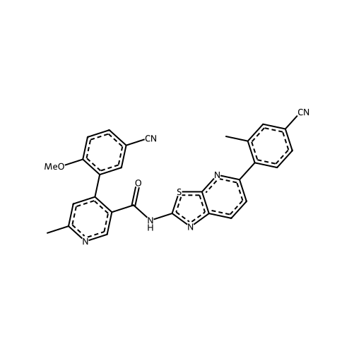 COc1ccc(C#N)cc1-c1cc(C)ncc1C(=O)Nc1nc2ccc(-c3ccc(C#N)cc3C)nc2s1